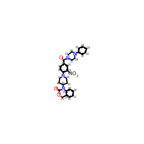 O=C(c1ccc(N2CCC(N3C(=O)OCc4ccccc43)CC2)c([N+](=O)[O-])c1)N1CCN(c2ccccc2)CC1